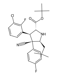 CC(C)(C)C[C@@H]1N[C@@H](C(=O)OC(C)(C)C)[C@H](c2cccc(Cl)c2F)[C@@]1(C#N)c1ccc(F)cc1